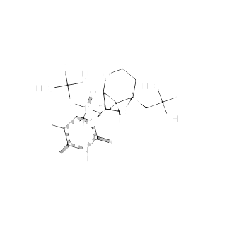 Cc1cn([C@@H]2O[C@@]3(CC(C)(C)C)CCOC2[C@H]3OP(=O)(O)OC(C)(C)C)c(=O)[nH]c1=O